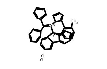 Cc1cccc(C)c1C1=CC=C[CH]1[Zr+2](=[C](c1ccccc1)c1ccccc1)[CH]1c2ccccc2-c2ccccc21.[Cl-].[Cl-]